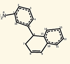 Nc1cccc(C2CC=Cc3ccccc32)c1